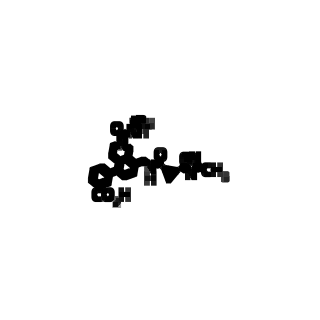 Cc1noc([C@@H]2C[C@@H]2C(=O)NCc2ccc(-c3cccc(C(=O)O)c3)c3c2CN(C(=O)NC(C)(C)C)CC3)n1